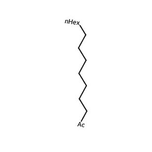 [CH2]CCCCCCCCCCCCC(C)=O